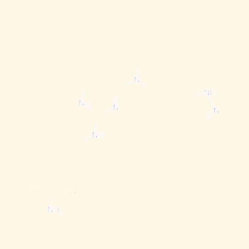 C#CCN(c1ccc2c(C)n[nH]c2c1)c1ccnc(Nc2cccc(S(N)(=O)=O)c2)n1